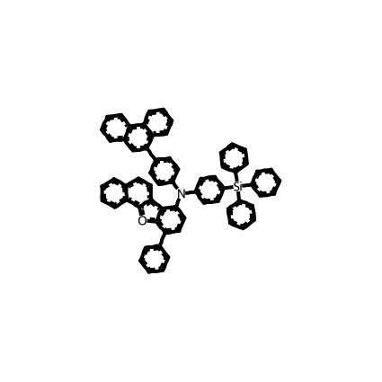 c1ccc(-c2ccc(N(c3ccc(-c4cc5ccccc5c5ccccc45)cc3)c3ccc([Si](c4ccccc4)(c4ccccc4)c4ccccc4)cc3)c3c2oc2c4ccccc4ccc23)cc1